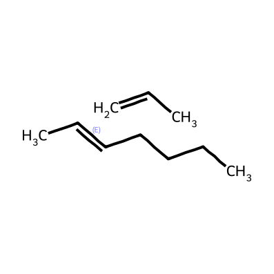 C/C=C/CCCC.C=CC